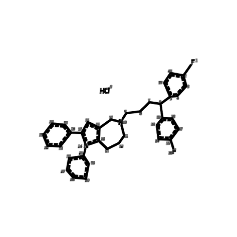 Cl.Fc1ccc(C(CCCN2CCCc3c(cc(-c4ccccc4)n3-c3ccccc3)C2)c2ccc(F)cc2)cc1